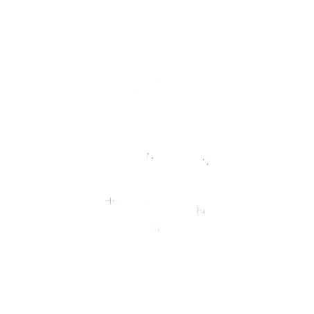 O=C(O)c1nc(C2CC2)cnc1Br